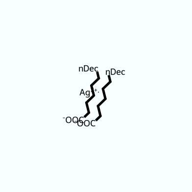 CCCCCCCCCCCCCCCC(=O)[O-].CCCCCCCCCCCCCCCC(=O)[O-].[Ag+2]